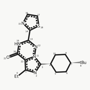 CCc1nc([C@H]2CC[C@@H](C(C)(C)C)CC2)n2nc(-c3nccs3)[nH]c(=O)c12